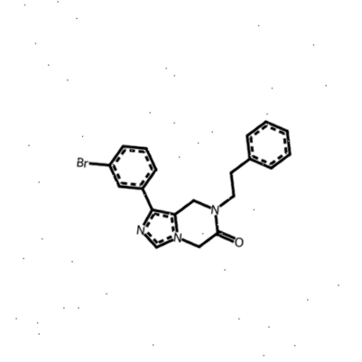 O=C1Cn2cnc(-c3cccc(Br)c3)c2CN1CCc1ccccc1